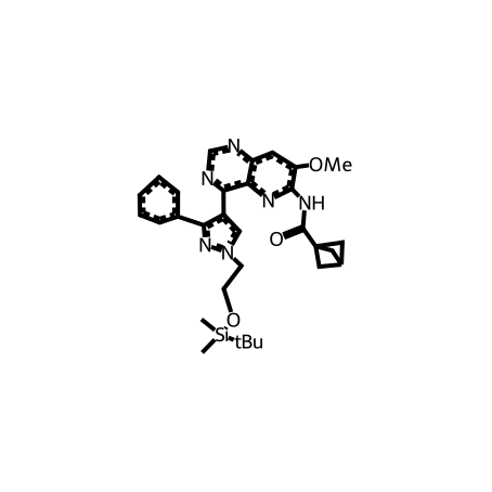 COc1cc2ncnc(-c3cn(CCO[Si](C)(C)C(C)(C)C)nc3-c3ccccc3)c2nc1NC(=O)C12CC(C1)C2